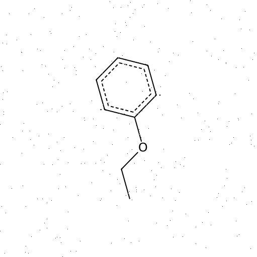 CCOc1[c]ccc[c]1